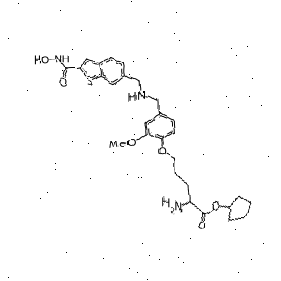 COc1cc(CNCc2ccc3cc(C(=O)NO)sc3c2)ccc1OCCCC(N)C(=O)OC1CCCC1